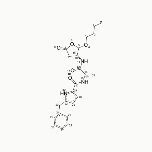 CCCCOC1OC(=O)C[C@@H]1NC(=O)[C@H](C)NC(=O)c1ccc(Cc2ccccc2)[nH]1